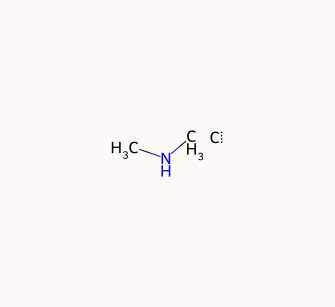 CNC.[C]